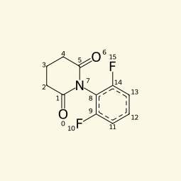 O=C1CCCC(=O)N1c1c(F)cccc1F